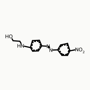 O=[N+]([O-])c1ccc(N=Nc2ccc(NCCO)cc2)cc1